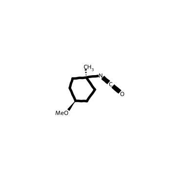 CO[C@H]1CC[C@@](C)(N=C=O)CC1